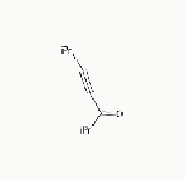 CC(C)C#CC(=O)C(C)C